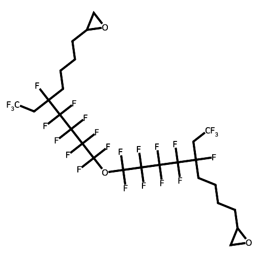 FC(F)(F)CC(F)(CCCCC1CO1)C(F)(F)C(F)(F)C(F)(F)C(F)(F)OC(F)(F)C(F)(F)C(F)(F)C(F)(F)C(F)(CCCCC1CO1)CC(F)(F)F